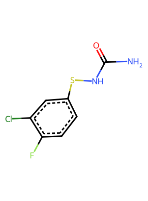 NC(=O)NSc1ccc(F)c(Cl)c1